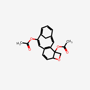 CC(=O)OC1=CC2=C(C=C3C=CC=C1C3)C1(OC(C)=O)COC1C=C2